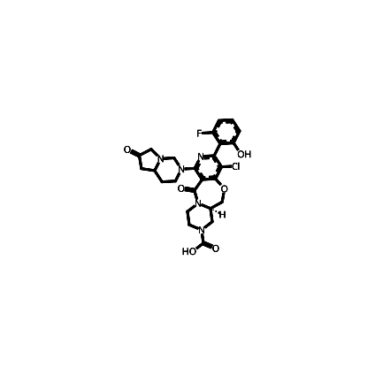 O=C1CC2CCN(c3nc(-c4c(O)cccc4F)c(Cl)c4c3C(=O)N3CCN(C(=O)O)C[C@@H]3CO4)CN2C1